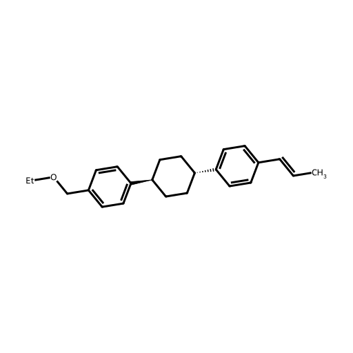 CC=Cc1ccc([C@H]2CC[C@H](c3ccc(COCC)cc3)CC2)cc1